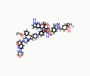 CC(C)Oc1ccccc1[C@H]1CN([C@H]2CCOc3nc(N4CCOCC4)ccc32)CCN1C1CC2(CCN(c3ccc(C(=O)NS(=O)(=O)c4ccc(NCC5CCC(C)(O)CC5)c([N+](=O)[O-])c4)c(N4c5cc6cc[nH]c6nc5O[C@H]5COCC[C@@H]54)c3)CC2)C1